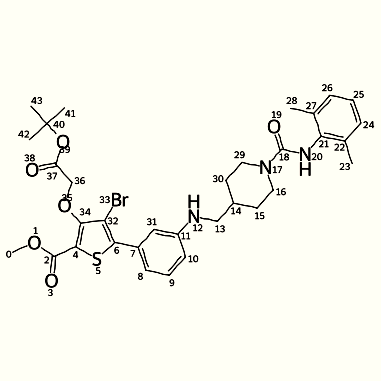 COC(=O)c1sc(-c2cccc(NCC3CCN(C(=O)Nc4c(C)cccc4C)CC3)c2)c(Br)c1OCC(=O)OC(C)(C)C